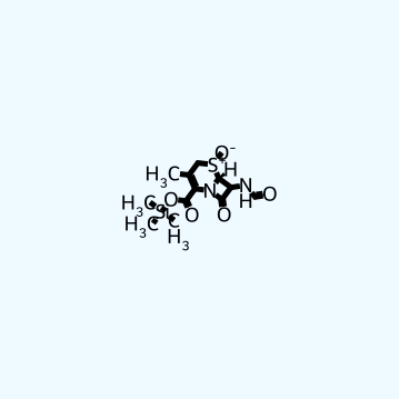 CC1=C(C(=O)O[Si](C)(C)C)N2C(=O)C(NC=O)[C@H]2[S+]([O-])C1